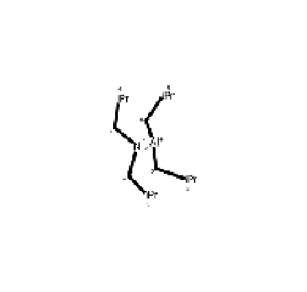 CC(C)C[N-]CC(C)C.CC(C)[CH2][Al+][CH2]C(C)C